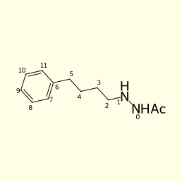 CC(=O)NNCCCCc1ccccc1